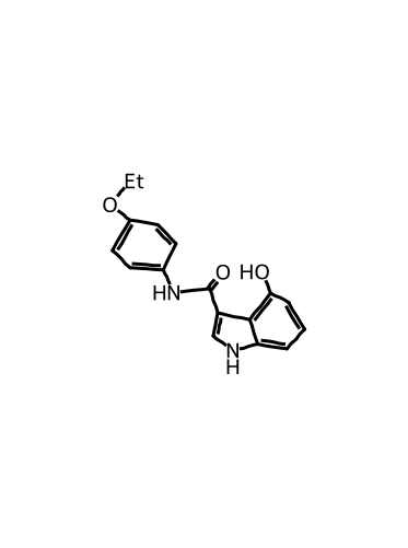 CCOc1ccc(NC(=O)c2c[nH]c3cccc(O)c23)cc1